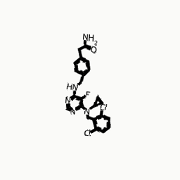 NC(=O)Cc1ccc(CNc2ncnc(N(Cc3c(Cl)cccc3Cl)C3CC3)c2F)cc1